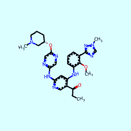 CCC(=O)c1cnc(Nc2cnc(O[C@H]3CCCN(C)C3)cn2)cc1Nc1cccc(-c2ncn(C)n2)c1OC